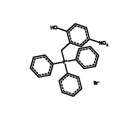 O=[N+]([O-])c1ccc(O)c(C[P+](c2ccccc2)(c2ccccc2)c2ccccc2)c1.[Br-]